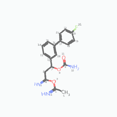 CC(=N)OC(=N)CC(OC(N)=O)c1cccc(-c2ccc(F)cc2)c1